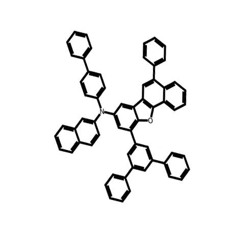 c1ccc(-c2ccc(N(c3ccc4ccccc4c3)c3cc(-c4cc(-c5ccccc5)cc(-c5ccccc5)c4)c4oc5c6ccccc6c(-c6ccccc6)cc5c4c3)cc2)cc1